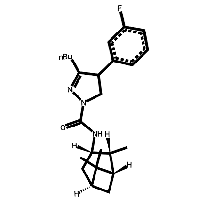 CCCCC1=NN(C(=O)N[C@H]2C[C@@H]3C[C@@H]([C@H]2C)C3(C)C)CC1c1cccc(F)c1